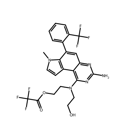 Cn1ccc2c3c(N(CCO)CCOC(=O)C(F)(F)F)nc(N)nc3cc(-c3ccccc3C(F)(F)F)c21